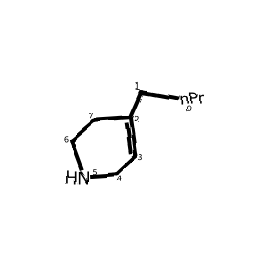 CCCCC1=CCNCC1